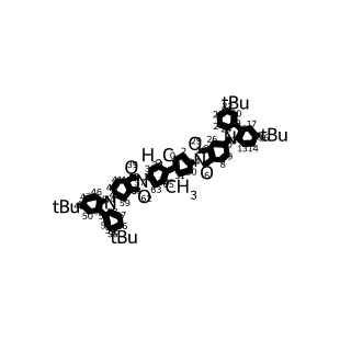 Cc1cc(N2C(=O)c3ccc(-n4c5ccc(C(C)(C)C)cc5c5cc(C(C)(C)C)ccc54)cc3C2=O)ccc1-c1ccc(N2C(=O)c3ccc(-n4c5ccc(C(C)(C)C)cc5c5cc(C(C)(C)C)ccc54)cc3C2=O)cc1C